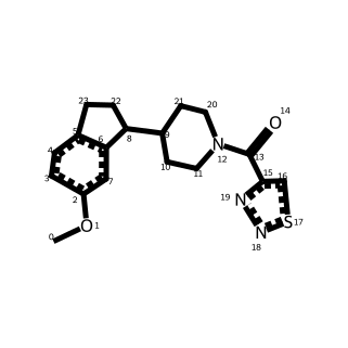 COc1ccc2c(c1)C(C1CCN(C(=O)c3csnn3)CC1)CC2